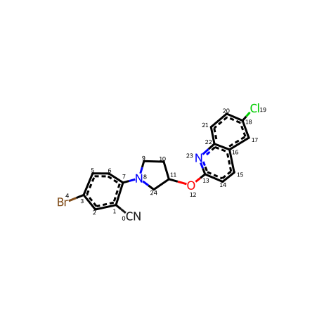 N#Cc1cc(Br)ccc1N1CCC(Oc2ccc3cc(Cl)ccc3n2)C1